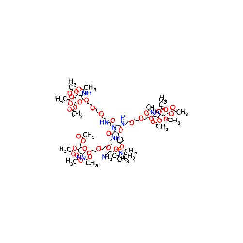 COC(COC(C)=O)C(OC(C)=O)C(OC(C)=O)C(NC(C)=O)OCCOCCOCCNC(=O)CN(CC(=O)NCCOCCOCCOC1OC(COC(C)=O)C(OC(C)=O)C(OC(C)=O)C1NC(C)=O)C(Cc1ccc(OP(OCCC#N)N(C(C)C)C(C)C)cc1)C(=O)NCCOCCOCCOC1OC(COC(C)=O)C(OC(C)=O)C(OC(C)=O)C1NC(C)=O